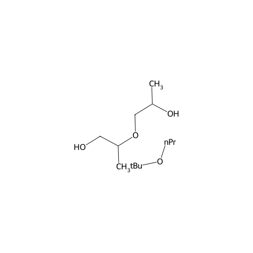 CC(O)COC(C)CO.CCCOC(C)(C)C